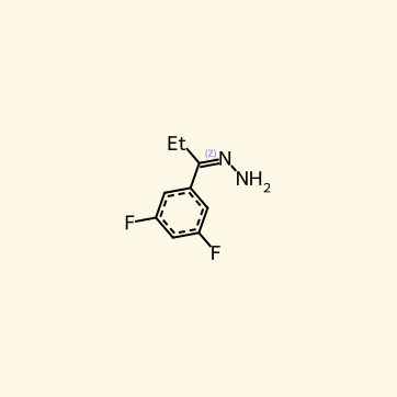 CC/C(=N/N)c1cc(F)cc(F)c1